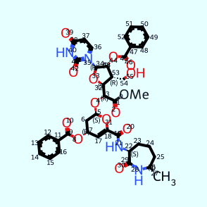 COC(=O)[C@H](O[C@@H]1C[C@@H](OC(=O)c2ccccc2)C=C(C(=O)N[C@H]2CCC[C@@H](C)NC2=O)O1)[C@H]1O[C@@H](n2ccc(=O)[nH]c2=O)[C@H](OC(=O)c2ccccc2)[C@@H]1CO